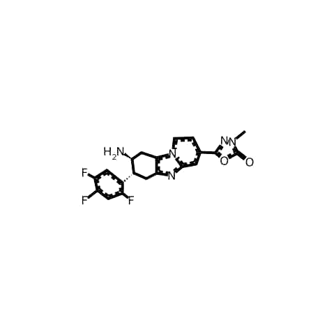 Cn1nc(-c2ccn3c4c(nc3c2)C[C@H](c2cc(F)c(F)cc2F)[C@@H](N)C4)oc1=O